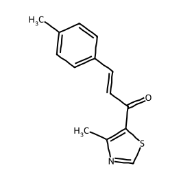 Cc1ccc(/C=C/C(=O)c2scnc2C)cc1